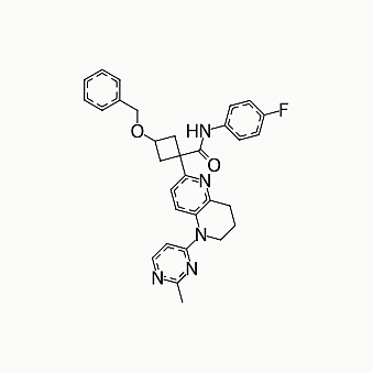 Cc1nccc(N2CCCc3nc(C4(C(=O)Nc5ccc(F)cc5)CC(OCc5ccccc5)C4)ccc32)n1